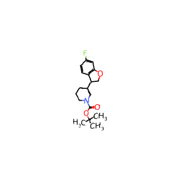 CC(C)(C)OC(=O)N1CCCC(C2COc3cc(F)ccc32)C1